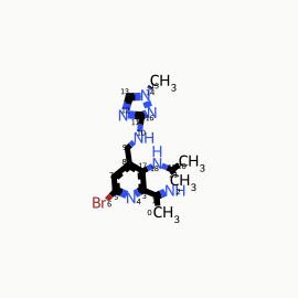 CC(=N)c1nc(Br)cc(CNc2ncn(C)n2)c1NC(C)C